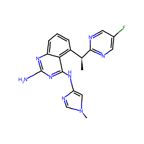 C[C@H](c1ncc(F)cn1)c1cccc2nc(N)nc(Nc3cn(C)cn3)c12